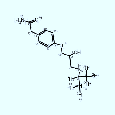 [2H]C([2H])([2H])C([2H])(NCC(O)COc1ccc(CC(N)=O)cc1)C([2H])([2H])[2H]